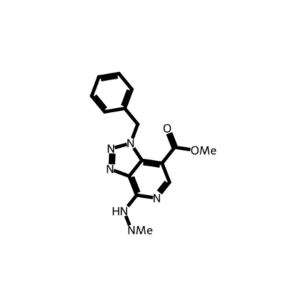 CNNc1ncc(C(=O)OC)c2c1nnn2Cc1ccccc1